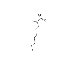 CCCCCCCN(O)C(=O)O